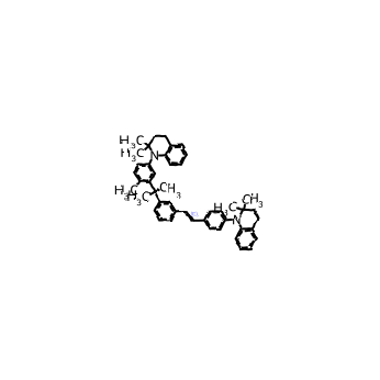 Cc1ccc(N2c3ccccc3CCC2(C)C)cc1C(C)(C)c1cccc(/C=C/c2ccc(N3c4ccccc4CCC3(C)C)cc2)c1